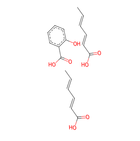 CC=CC=CC(=O)O.CC=CC=CC(=O)O.O=C(O)c1ccccc1O